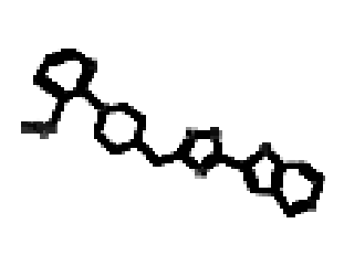 CCOC(=O)c1cccnc1N1CCC(Cc2noc(-c3cc4cnccc4o3)n2)CC1